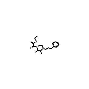 C=C(OCC)C(=O)N1CCN(CCCc2ccccc2)C(C)C1C